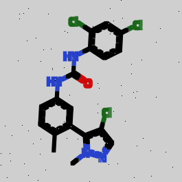 Cc1ccc(NC(=O)Nc2ccc(Cl)cc2Cl)cc1-c1c(Cl)cnn1C